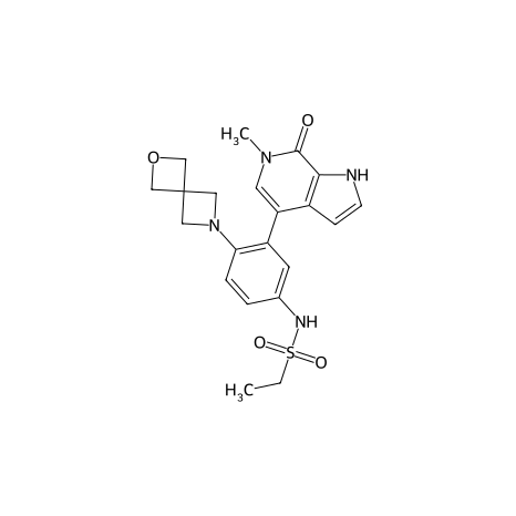 CCS(=O)(=O)Nc1ccc(N2CC3(COC3)C2)c(-c2cn(C)c(=O)c3[nH]ccc23)c1